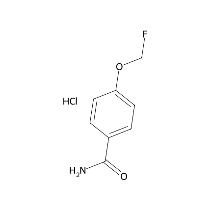 Cl.NC(=O)c1ccc(OCF)cc1